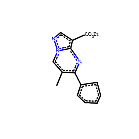 CCOC(=O)c1cnn2cc(C)c(-c3ccccc3)nc12